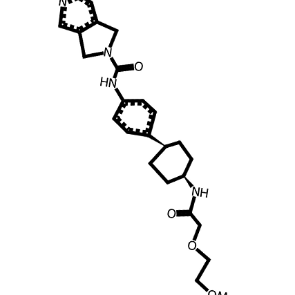 COCCOCC(=O)N[C@H]1CC[C@@H](c2ccc(NC(=O)N3Cc4ccncc4C3)cc2)CC1